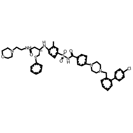 Cc1cc(S(=O)(=O)NC(=O)c2ccc(N3CCN(Cc4ccccc4-c4ccc(Cl)cc4)CC3)cc2)ccc1N[C@@H](CSc1ccccc1)CC(=O)NCCN1CCOCC1